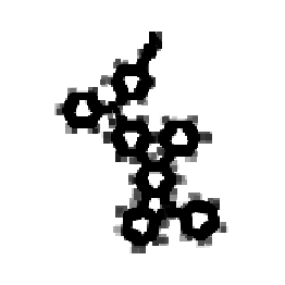 N#Cc1ccc(N(c2ccccc2)c2ccc(-c3cc4c5ccccc5n(-c5ccccc5)c4cc3-c3ccccc3)cc2)cc1